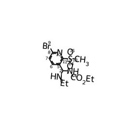 CCNC(NC(=O)OCC)c1ccc(Br)nc1S(C)(=O)=O